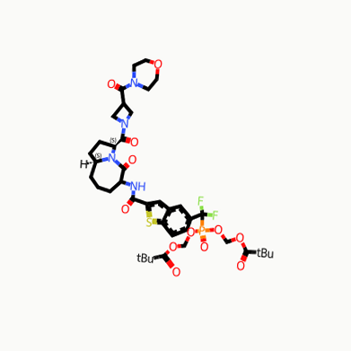 CC(C)(C)C(=O)OCOP(=O)(OCOC(=O)C(C)(C)C)C(F)(F)c1ccc2sc(C(=O)NC3CCC[C@H]4CC[C@@H](C(=O)N5CC(C(=O)N6CCOCC6)C5)N4C3=O)cc2c1